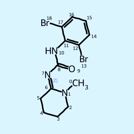 CN1CCCC/C1=N/C(=O)Nc1c(Br)cccc1Br